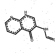 O=CNc1c[nH]c2ncccc2c1=O